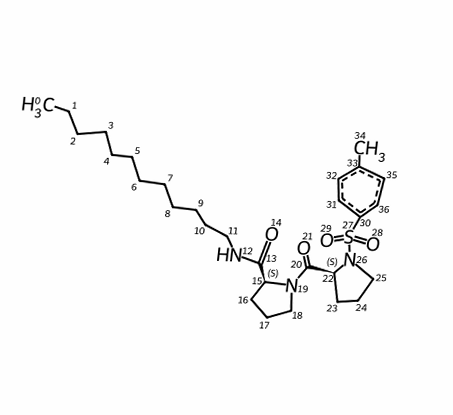 CCCCCCCCCCCCNC(=O)[C@@H]1CCCN1C(=O)[C@@H]1CCCN1S(=O)(=O)c1ccc(C)cc1